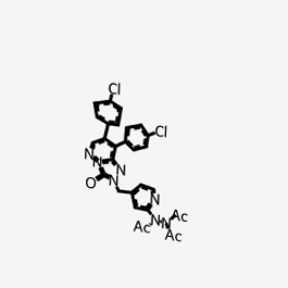 CC(=O)N(C(C)=O)N(C(C)=O)c1cc(Cn2nc3c(-c4ccc(Cl)cc4)c(-c4ccc(Cl)cc4)cnn3c2=O)ccn1